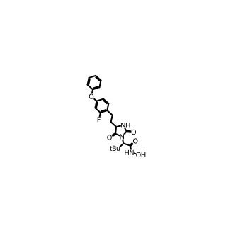 CC(C)(C)C(C(=O)NO)N1C(=O)NC(CCc2ccc(Oc3ccccc3)cc2F)C1=O